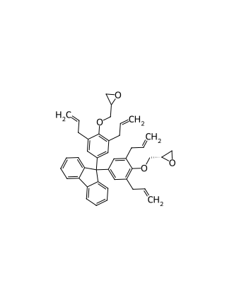 C=CCc1cc(C2(c3cc(CC=C)c(OC[C@@H]4CO4)c(CC=C)c3)c3ccccc3-c3ccccc32)cc(CC=C)c1OCC1CO1